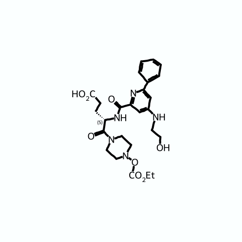 CCOC(=O)ON1CCN(C(=O)[C@H](CCC(=O)O)NC(=O)c2cc(NCCO)cc(-c3ccccc3)n2)CC1